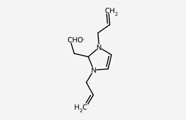 C=CCN1C=CN(CC=C)C1C[C]=O